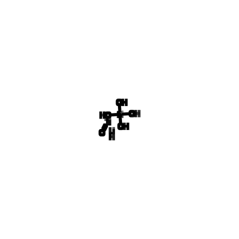 O[Si](O)(O)O.[LiH].[O]=[Ti]